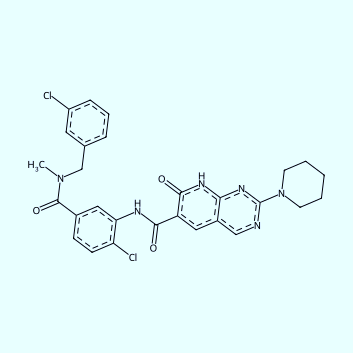 CN(Cc1cccc(Cl)c1)C(=O)c1ccc(Cl)c(NC(=O)c2cc3cnc(N4CCCCC4)nc3[nH]c2=O)c1